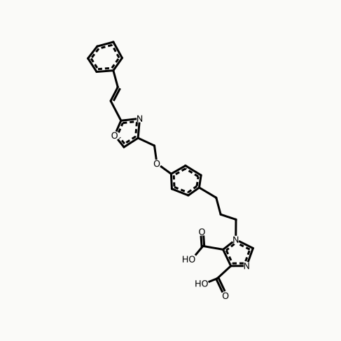 O=C(O)c1ncn(CCCc2ccc(OCc3coc(C=Cc4ccccc4)n3)cc2)c1C(=O)O